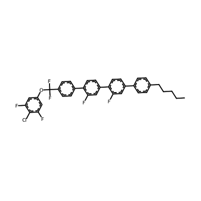 CCCCCc1ccc(-c2ccc(-c3ccc(-c4ccc(C(F)(F)Oc5cc(F)c(Cl)c(F)c5)cc4)c(F)c3)c(F)c2)cc1